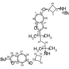 CC(C)(C)N[C@H]1C[C@@H](Oc2ccc3oc(C(C)(C)CCC(C)(C)N[C@H]4C[C@@H](Oc5ccc6cc(C(C)(C)C)oc6c5)C4)cc3c2)C1